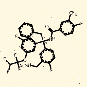 CC(=O)NCc1cc([C@@](Cc2ccccc2)(NC(=O)c2ccc(F)c(C(F)(F)F)c2)c2cc(F)cc(OC(F)(F)C(F)F)c2)ccc1F